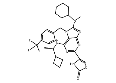 C[C@@H](Nc1nc(-c2noc(=O)[nH]2)nc2nc(N(C)C3CCCCC3)n(Cc3ccc(C(F)(F)F)cc3)c12)C1CCC1